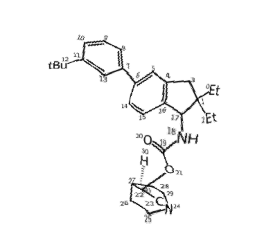 CCC1(CC)Cc2cc(-c3cccc(C(C)(C)C)c3)ccc2C1NC(=O)O[C@H]1CN2CCC1CC2